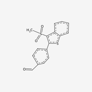 CS(=O)(=O)c1c(-c2ccc(C=O)cc2)sc2ccccc12